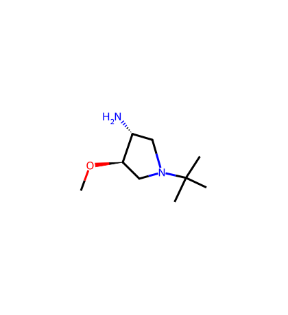 CO[C@@H]1CN(C(C)(C)C)C[C@H]1N